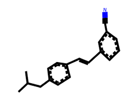 CC(C)Cc1ccc(C=Cc2cccc(C#N)c2)cc1